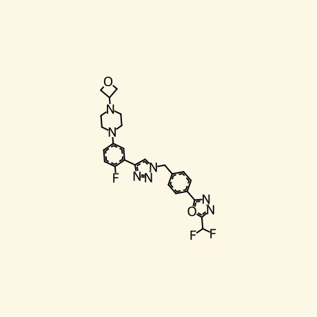 Fc1ccc(N2CCN(C3COC3)CC2)cc1-c1cn(Cc2ccc(-c3nnc(C(F)F)o3)cc2)nn1